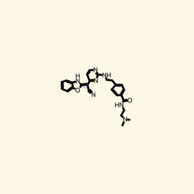 CN(C)CCNC(=O)c1ccc(CCNc2nccc(/C(C#N)=C3\Nc4ccccc4O3)n2)cc1